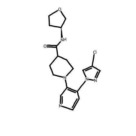 O=C(N[C@H]1CCOC1)C1CCN(c2cnccc2-n2cc(Cl)cn2)CC1